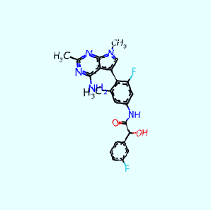 Cc1nc(N)c2c(-c3c(C)cc(NC(=O)C(O)c4cccc(F)c4)cc3F)cn(C)c2n1